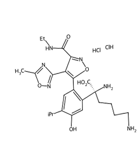 CCNC(=O)c1noc(-c2cc(C(C)C)c(O)cc2[C@@](N)(CCCCN)C(=O)O)c1-c1noc(C)n1.Cl.Cl